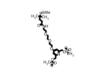 CSSC(C)(C)CCC(=O)NCCOCCOCCOc1cc(COS(C)(=O)=O)nc(COS(C)(=O)=O)c1